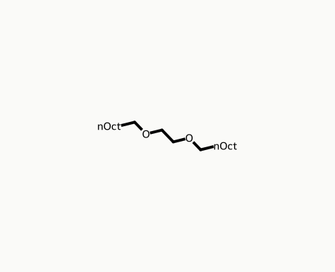 CCCCCCCCCOCCOCCCCCCCCC